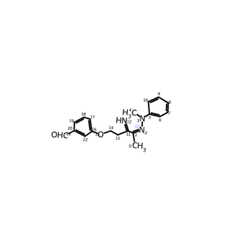 C/C(=N/N(C)c1ccccc1)C(=N)CCOc1cccc(C=O)c1